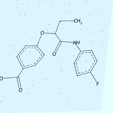 CCC(Oc1ccc(C(=O)O)cc1)C(=O)Nc1ccc(F)cc1